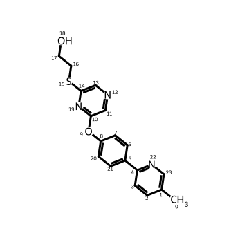 Cc1ccc(-c2ccc(Oc3cncc(SCCO)n3)cc2)nc1